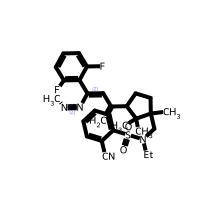 C=C(/C=C(\N=N/C)c1c(F)cccc1F)C1CCC(C)(CN(CC)S(=O)(=O)c2ccccc2C#N)C1(C)C